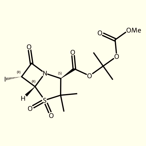 COC(=O)OC(C)(C)OC(=O)[C@@H]1N2C(=O)[C@@H](I)[C@H]2S(=O)(=O)C1(C)C